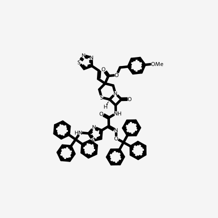 COc1ccc(COC(=O)C2(C=Cc3csnn3)CS[C@@H]3C(NC(=O)C(=NOC(c4ccccc4)(c4ccccc4)c4ccccc4)c4csc(NC(c5ccccc5)(c5ccccc5)c5ccccc5)n4)C(=O)N3C2)cc1